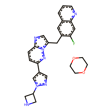 C1COCCO1.Fc1cc2ncccc2cc1Cc1cnc2ccc(-c3cnn(C4CNC4)c3)nn12